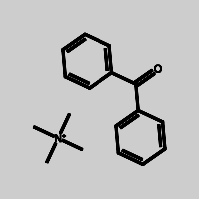 C[N+](C)(C)C.O=C(c1ccccc1)c1ccccc1